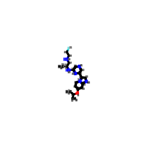 CC(C)Oc1ccn2c(-c3cncc(N[C@H](C)CNCCF)n3)cnc2c1